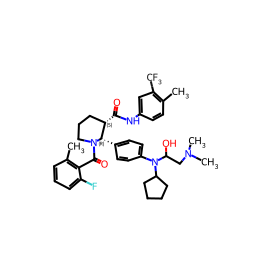 Cc1ccc(NC(=O)[C@H]2CCCN(C(=O)c3c(C)cccc3F)[C@H]2c2ccc(N(C(O)CN(C)C)C3CCCC3)cc2)cc1C(F)(F)F